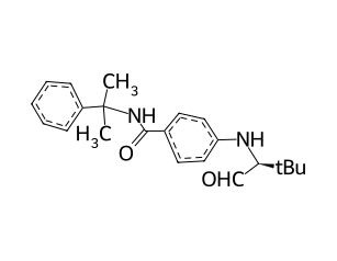 [CH2]C(C)(C)[C@@H](C=O)Nc1ccc(C(=O)NC(C)(C)c2ccccc2)cc1